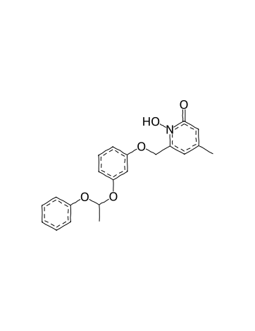 Cc1cc(COc2cccc(OC(C)Oc3ccccc3)c2)n(O)c(=O)c1